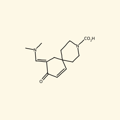 CN(C)C=C1CC2(C=CC1=O)CCN(C(=O)O)CC2